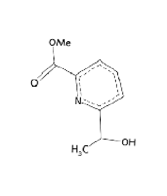 COC(=O)c1cccc(C(C)O)n1